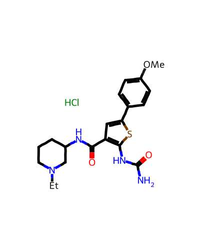 CCN1CCCC(NC(=O)c2cc(-c3ccc(OC)cc3)sc2NC(N)=O)C1.Cl